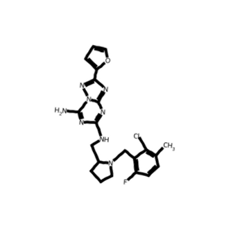 Cc1ccc(F)c(CN2CCCC2CNc2nc(N)n3nc(-c4ccco4)nc3n2)c1Cl